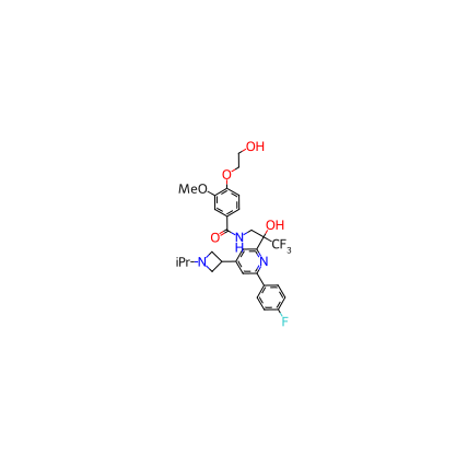 COc1cc(C(=O)NCC(O)(c2cc(C3CN(C(C)C)C3)cc(-c3ccc(F)cc3)n2)C(F)(F)F)ccc1OCCO